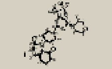 C[C@H]1COCCN1c1cc(C2(S(C)(=O)=O)CC2)nc(-c2ccc(N(C(N)=O)n3c(N)cccc3=O)cc2)n1